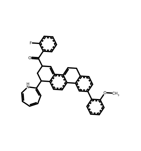 COc1ccccc1-c1ccc2c(c1)-c1ccc3c(c1=CC2)=CC(C(=O)c1ccccc1F)CC3C1=CC=CC=CN1